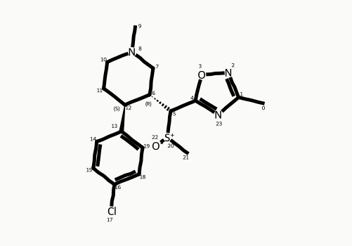 Cc1noc(C([C@H]2CN(C)CC[C@@H]2c2ccc(Cl)cc2)[S+](C)[O-])n1